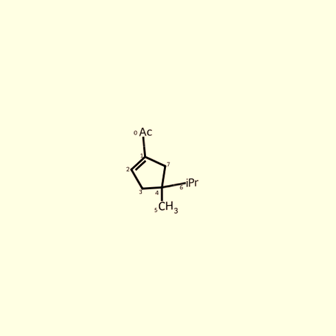 CC(=O)C1=CCC(C)(C(C)C)C1